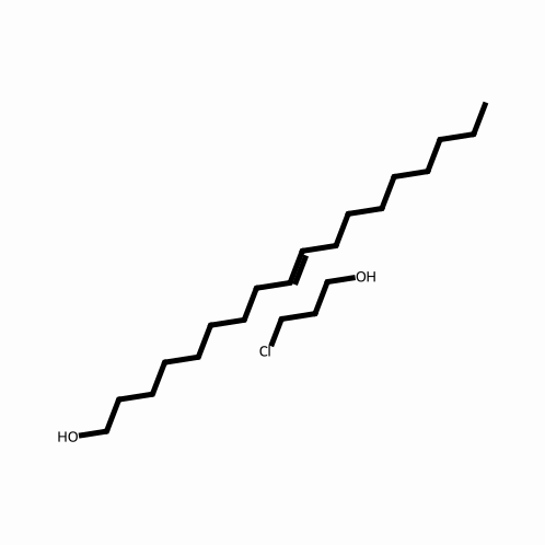 CCCCCCCCC=CCCCCCCCCO.OCCCCl